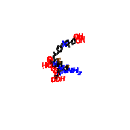 Cc1c[n+](Cc2ccc(CC(C)CC3=C(C(=O)O)N4C(=O)[C@@H](NC(=O)/C(=N\OC(C)(C)C(=O)O)c5csc(N)n5)[C@H]4SC3)cc2)ccc1-c1ccc(O)c(O)c1